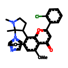 COc1cc(OC)c2c(=O)cc(-c3ccccc3Cl)oc2c1C1CCN(C)C1(C)n1ccnc1